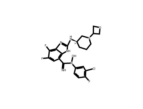 N=C(c1cc(F)c(F)c2nc(N[C@@H]3CCCN(C4COC4)C3)[nH]c12)N(O)c1ccc(F)c(Cl)c1